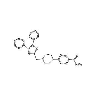 CNC(=O)c1ccc(C2CCN(Cc3nc(-c4ccccc4)c(-c4ccccc4)o3)CC2)cc1